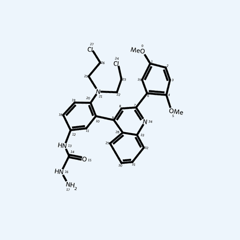 COc1ccc(OC)c(-c2cc(-c3cc(NC(=O)NN)ccc3N(CCCl)CCCl)c3ccccc3n2)c1